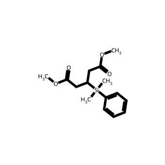 COC(=O)CC(CC(=O)OC)[Si](C)(C)c1ccccc1